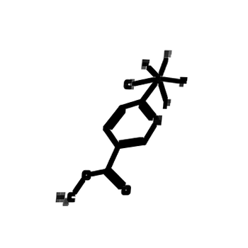 COC(=O)c1ccc(S(F)(F)(F)(F)Cl)nc1